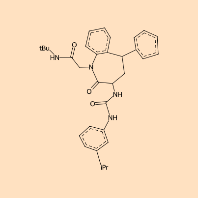 CC(C)c1cccc(NC(=O)NC2CC(c3ccccc3)c3ccccc3N(CC(=O)NC(C)(C)C)C2=O)c1